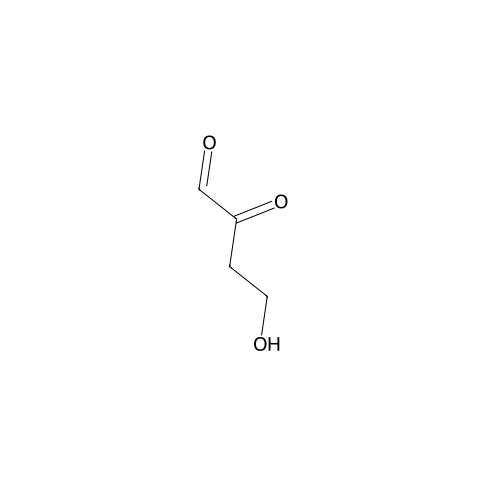 O=CC(=O)CCO